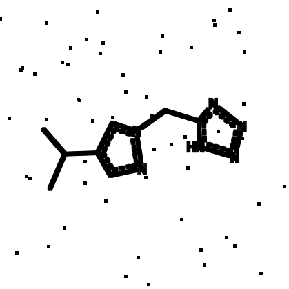 CC(C)c1cnn(Cc2nnn[nH]2)c1